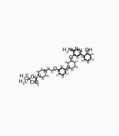 CC(C)(C)OC(=O)N1CCN(CCOc2cccc(N3CCCC(Oc4cc(-c5ccccc5O)nnc4N)C3)c2)CC1